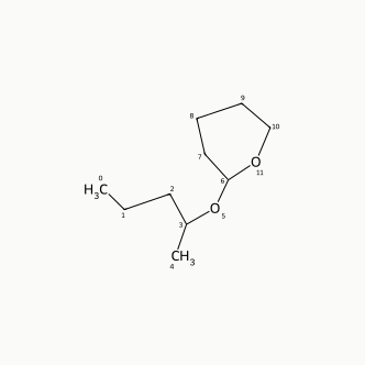 CCCC(C)OC1CCCCO1